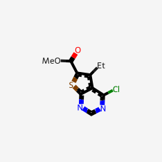 CCc1c(C(=O)OC)sc2ncnc(Cl)c12